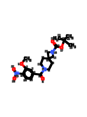 COc1cc(C(=O)N2CCC3(CC2)CN(C(=O)OC(C)(C)C)C3)ccc1[N+](=O)[O-]